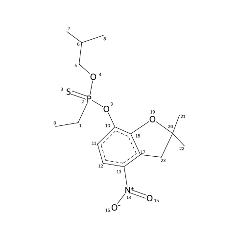 CCP(=S)(OCC(C)C)Oc1ccc([N+](=O)[O-])c2c1OC(C)(C)C2